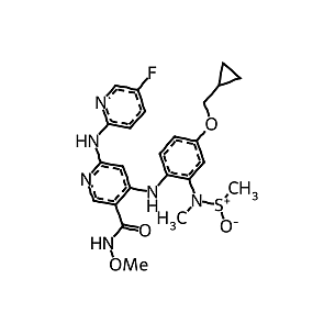 CONC(=O)c1cnc(Nc2ccc(F)cn2)cc1Nc1ccc(OCC2CC2)cc1N(C)[S+](C)[O-]